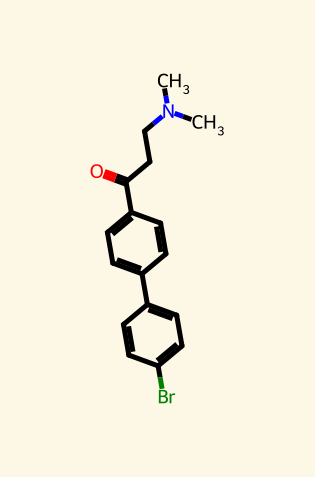 CN(C)CCC(=O)c1ccc(-c2ccc(Br)cc2)cc1